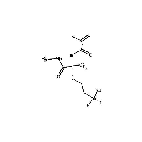 C=C(C)C(=O)OC(OCCC(F)(F)S)(C(=O)NCCCC)C(F)(F)F